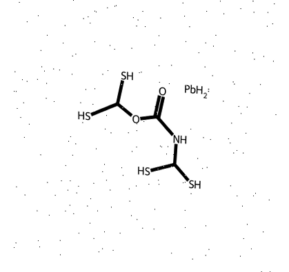 O=C(NC(S)S)OC(S)S.[PbH2]